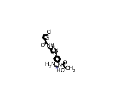 C=C(O)C(=O)N(/C=C\N)c1ccc(-n2cc(CNC(=O)c3ccc(Cl)s3)nn2)cc1